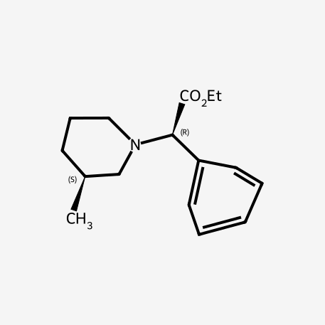 CCOC(=O)[C@@H](c1ccccc1)N1CCC[C@H](C)C1